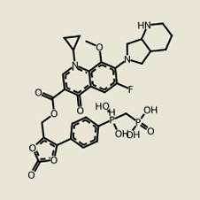 COc1c(N2CC3CCCNC3C2)c(F)cc2c(=O)c(C(=O)OCc3oc(=O)oc3-c3ccc([PH](O)(O)CP(=O)(O)O)cc3)cn(C3CC3)c12